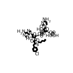 C=CCCC(=O)N(C)C(Cc1ccc(Cl)cc1)C(=O)O[C@H]1[C@@H](O)[C@H](n2cnc3c(N)ncnc32)O[C@H]1COP(=O)(O)O[C@H]1[C@@H](O)[C@H](n2ccc(N)nc2=O)O[C@@H]1COP(=O)(O)O